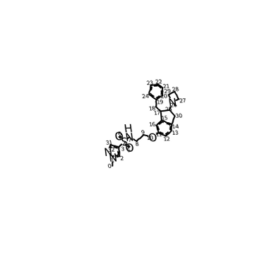 Cn1cc(S(=O)(=O)NCCOc2ccc3c(c2)C(Cc2ccccc2)C(N2CCC2)C3)cn1